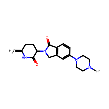 C=C1CCC(N2Cc3cc(N4CCN(C(C)C)CC4)ccc3C2=O)C(=O)N1